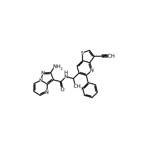 C#Cc1csc2cc(C(C)NC(=O)c3c(N)nn4cccnc34)c(-c3ccccc3)nc12